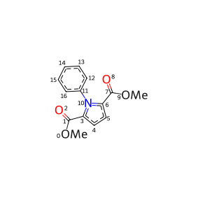 COC(=O)c1ccc(C(=O)OC)n1-c1ccccc1